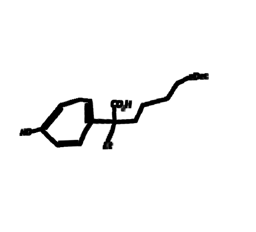 CCCCCCCCCCCCCCC(CC)(C(=O)O)c1ccc(O)cc1